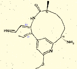 C/C=C1\C(=C/C=N)NC(=O)[C@@H](C)CCC[C@H](N)c2cc1cc(OC)n2